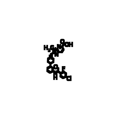 Cn1c(CN2CCC(c3cccc4c3OCC(c3ccc(Cl)cc3F)N4)CC2)nc2ccc(C(=O)O)nc21